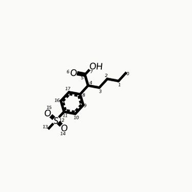 CCCCC(C(=O)O)c1ccc(S(C)(=O)=O)cc1